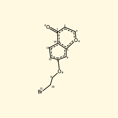 O=c1ccoc2cc(OCCBr)ccc12